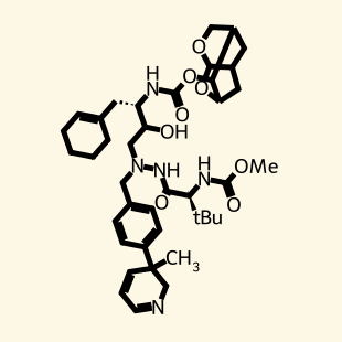 COC(=O)N[C@H](C(=O)NN(Cc1ccc(C2(C)C=CC=NC2)cc1)CC(O)[C@H](CC1=CCCCC1)NC(=O)OC1C2COC3OC1CC3C2)C(C)(C)C